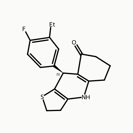 CCc1cc([C@@H]2C3=C(CCS3)NC3=C2C(=O)CCC3)ccc1F